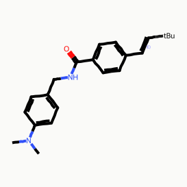 CN(C)c1ccc(CNC(=O)c2ccc(/C=C/C(C)(C)C)cc2)cc1